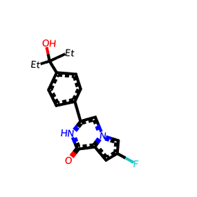 CCC(O)(CC)c1ccc(-c2cn3cc(F)cc3c(=O)[nH]2)cc1